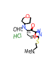 CNCCSc1nnc(C(=O)[C@H](CC(C)C)N(C=O)C2CCOCC2)o1.Cl